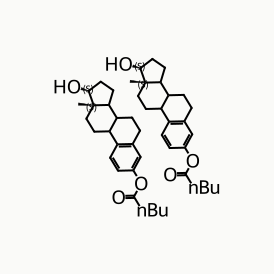 CCCCC(=O)Oc1ccc2c(c1)CCC1C2CC[C@@]2(C)C1CC[C@@H]2O.CCCCC(=O)Oc1ccc2c(c1)CCC1C2CC[C@@]2(C)C1CC[C@@H]2O